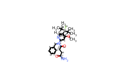 COc1cc(N(Cc2ccccc2)C(=O)CCC(N)=O)ncc1[Si](F)(C(C)(C)C)C(C)(C)C